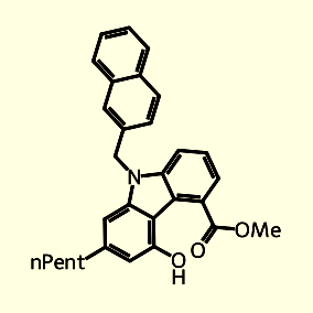 CCCCCc1cc(O)c2c3c(C(=O)OC)cccc3n(Cc3ccc4ccccc4c3)c2c1